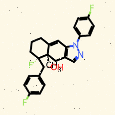 C[C@]12Cc3cnn(-c4ccc(F)cc4)c3C=C1CCC[C@]2(F)[C@H](O)c1ccc(F)cc1